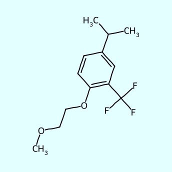 COCCOc1ccc(C(C)C)cc1C(F)(F)F